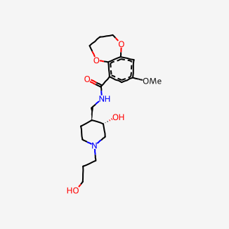 COc1cc2c(c(C(=O)NC[C@@H]3CCN(CCCO)C[C@H]3O)c1)OCCCO2